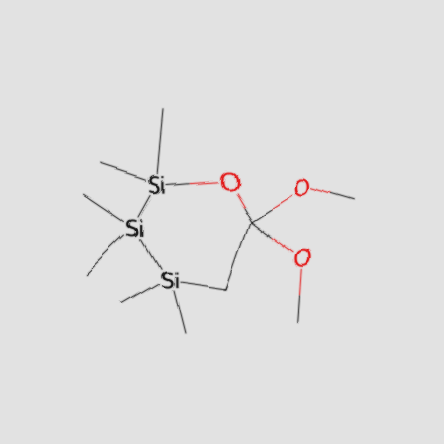 COC1(OC)C[Si](C)(C)[Si](C)(C)[Si](C)(C)O1